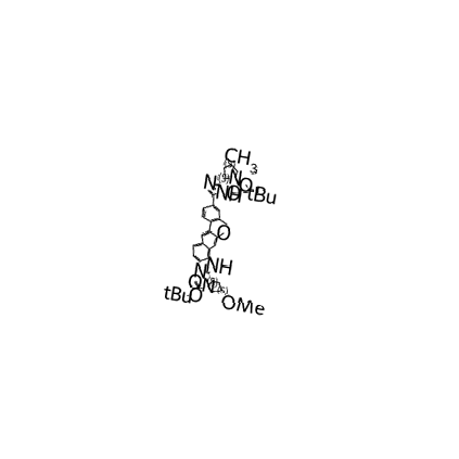 COC[C@H]1C[C@@H](c2nc3ccc4cc5c(cc4c3[nH]2)OCc2cc(-c3cnc([C@@H]4C[C@H](C)CN4C(=O)OC(C)(C)C)[nH]3)ccc2-5)N(C(=O)OC(C)(C)C)C1